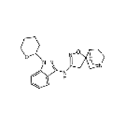 c1ccc2c(c1)c(NC1=NOC3(C1)CN1CCC3CC1)nn2C1CCCCO1